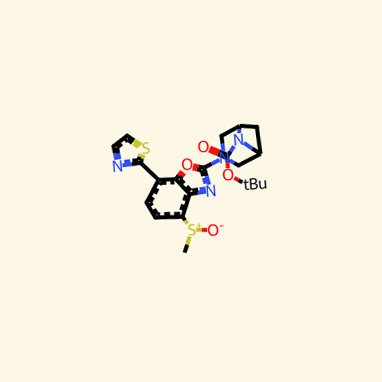 C[S+]([O-])c1ccc(-c2nccs2)c2oc(N3CC4CC(C3)N4C(=O)OC(C)(C)C)nc12